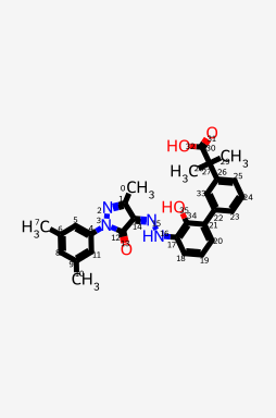 CC1=NN(c2cc(C)cc(C)c2)C(=O)/C1=N\Nc1cccc(-c2cccc(C(C)(C)C(=O)O)c2)c1O